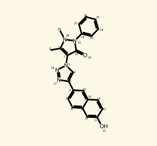 Cc1c(-n2cc(-c3ccc4cc(O)ccc4c3)nn2)c(=O)n(-c2ccccc2)n1C